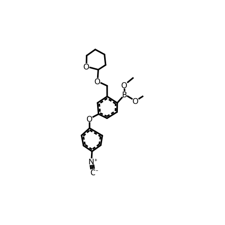 [C-]#[N+]c1ccc(Oc2ccc(B(OC)OC)c(COC3CCCCO3)c2)cc1